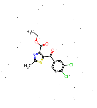 CCOC(=O)c1nc(C)sc1C(=O)c1ccc(Cl)c(Cl)c1